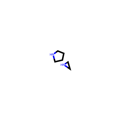 C1CCNC1.C1CN1